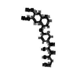 CCCCCCCCCCCC(=O)NC(=S)Nc1ccc(Oc2ccnc3cc(OC)c(OC)cc23)cc1